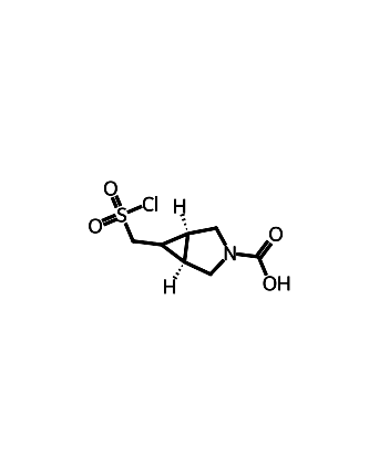 O=C(O)N1C[C@@H]2C(CS(=O)(=O)Cl)[C@@H]2C1